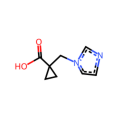 O=C(O)C1(Cn2ccnc2)CC1